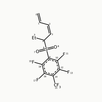 C=C/C=C\C(CC)S(=O)(=O)c1c(F)c(F)c(C(F)(F)F)c(F)c1F